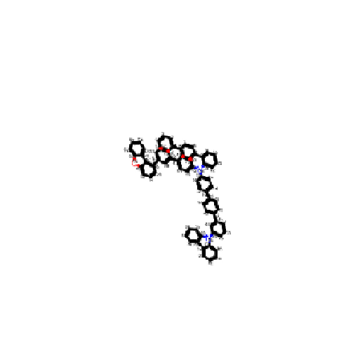 c1ccc(-c2ccc(-c3ccccc3N(c3ccc(-c4ccc(-c5cccc(-n6c7ccccc7c7ccccc76)c5)cc4)cc3)c3ccc(-c4cccc(-c5cccc6oc7ccccc7c56)c4)cc3)cc2)cc1